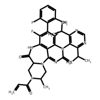 C=CC(=O)N1CC2C(=O)Nc3c(F)c(-c4c(O)cccc4F)c(F)c4c3c(nc(=O)n4-c3c(C(C)C)ncnc3C(C)C)N2CC1C